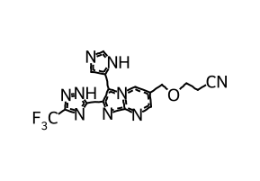 N#CCCOCc1cnc2nc(-c3nc(C(F)(F)F)n[nH]3)c(-c3cnc[nH]3)n2c1